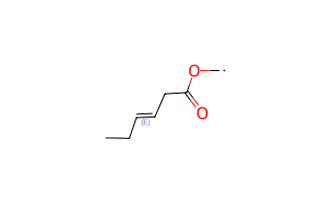 [CH2]OC(=O)C/C=C/CC